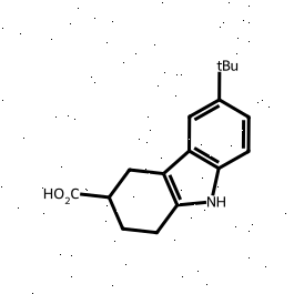 CC(C)(C)c1ccc2[nH]c3c(c2c1)CC(C(=O)O)CC3